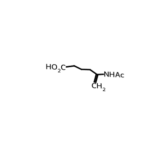 C=C(CCCC(=O)O)NC(C)=O